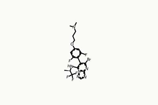 C[C@@H](Nc1c(-c2c(F)cc(OCCCN(C)C)cc2F)c(Br)nc2ncnn12)C(F)(F)F